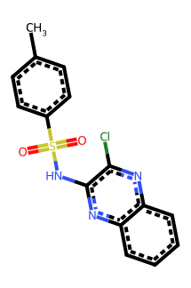 Cc1ccc(S(=O)(=O)Nc2nc3ccccc3nc2Cl)cc1